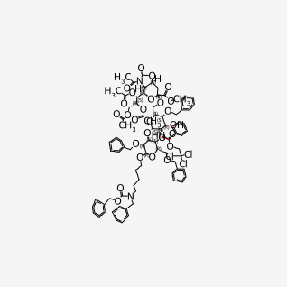 COC(=O)[C@@]1(OC[C@H]2O[C@@H](O[C@H]3[C@@H](OCc4ccccc4)[C@@H](COCc4ccccc4)O[C@@H](OCCCCCN(Cc4ccccc4)C(=O)OCc4ccccc4)[C@@H]3OCc3ccccc3)[C@H](NC(=O)OCC(Cl)(Cl)Cl)[C@@H](O)[C@@H]2OCc2ccccc2)C[C@@H]2OC(=O)N(C(C)=O)[C@H]2[C@H]([C@H](OC(C)=O)[C@@H](COC(C)=O)OC(C)=O)O1